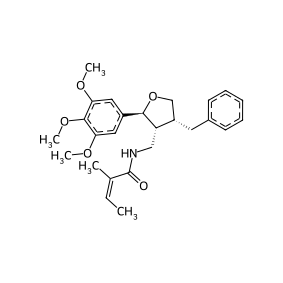 C/C=C(/C)C(=O)NC[C@H]1[C@@H](Cc2ccccc2)CO[C@@H]1c1cc(OC)c(OC)c(OC)c1